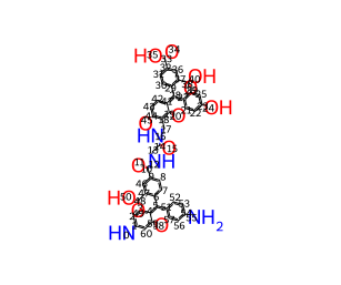 N=c1ccc2c(-c3ccc(C(=O)NCC(=O)NCc4c5oc6cc(O)ccc6c(-c6ccc(C(=O)O)cc6C(=O)O)c-5ccc4=O)cc3C(=O)O)c3ccc(N)cc3oc-2c1